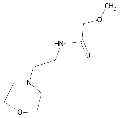 COCC(=O)NCCN1CCOCC1